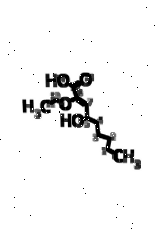 CCCCCC(O)C=C(OCC)C(=O)O